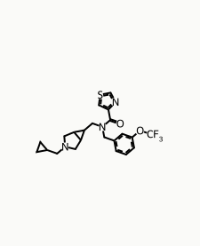 O=C(c1cscn1)N(Cc1cccc(OC(F)(F)F)c1)CC1C2CN(CC3CC3)CC21